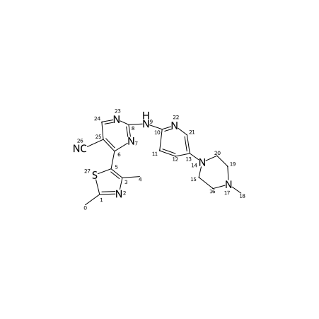 Cc1nc(C)c(-c2nc(Nc3ccc(N4CCN(C)CC4)cn3)ncc2C#N)s1